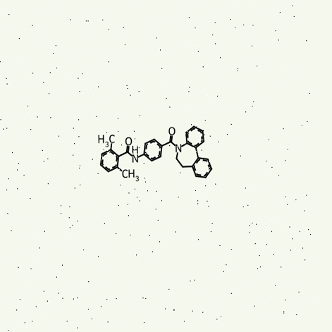 Cc1cccc(C)c1C(=O)Nc1ccc(C(=O)N2CCc3ccccc3-c3ccccc32)cc1